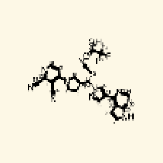 N#CC[C@@H]([C@H]1CCN(c2ccnc(C#N)c2C#N)C1)n1cc(-c2ncnc3[nH]ccc23)cn1.O=C(O)C(F)(F)F